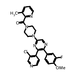 COc1ccc(-c2ncc(N3CCN(C(=O)c4ncccc4C)CC3)nc2-c2ccncc2Cl)cc1F